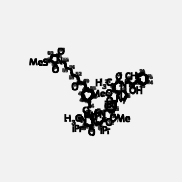 CC[C@H](C)[C@@H]([C@@H](CC(=O)N1CCC[C@H]1[C@H](OC)[C@@H](C)C(=O)N[C@H](C)[C@@H](O)c1ccccc1)OC)N(C)C(=O)[C@@H](NC(=O)[C@H](C(C)C)N(C)C(=O)OCc1ccc(CC(=O)CCCCCN2C(=O)CC(SC)C2=O)cc1)C(C)C